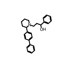 OC(CCN1CCCCC1c1ccc(-c2ccccc2)cc1)c1ccccc1